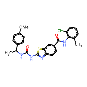 COc1ccc(C(C)NC(=O)Nc2nc3ccc(C(=O)Nc4c(C)cccc4Cl)cc3s2)cc1